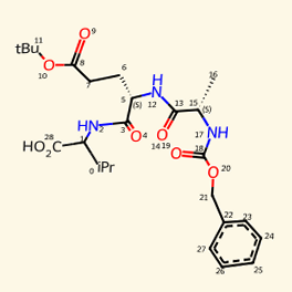 CC(C)C(NC(=O)[C@H](CCC(=O)OC(C)(C)C)NC(=O)[C@H](C)NC(=O)OCc1ccccc1)C(=O)O